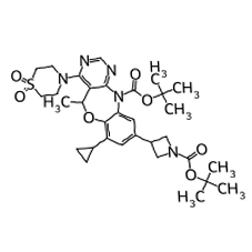 CC1Oc2c(C3CC3)cc(C3CN(C(=O)OC(C)(C)C)C3)cc2N(C(=O)OC(C)(C)C)c2ncnc(N3CCS(=O)(=O)CC3)c21